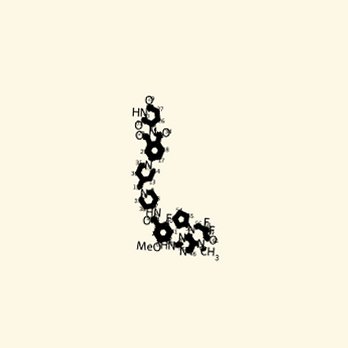 COc1cc(C(=O)NC2CCN(CC3CCN(c4ccc5c(c4)C(=O)N(C4CCC(=O)NC4=O)C5=O)CC3)CC2)c(F)cc1Nc1ncc2c(n1)N(C1CCCC1)CC(F)(F)C(=O)N2C